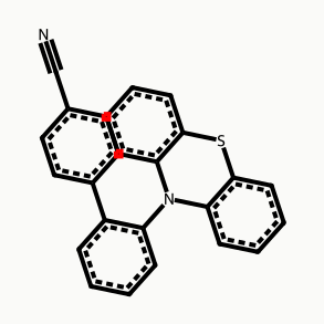 N#Cc1ccc(-c2ccccc2N2c3ccccc3Sc3ccccc32)cc1